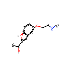 CCC(=O)c1cc2cc(OCCNC(C)C)ccc2o1